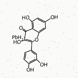 O=c1c(O)c(-c2ccc(O)c(O)c2)oc2cc(O)cc(O)c12.[PbH2]